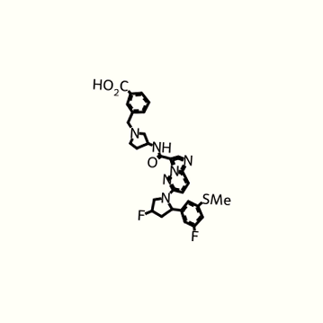 CSc1cc(F)cc(C2CC(F)CN2c2ccc3ncc(C(=O)NC4CCN(Cc5cccc(C(=O)O)c5)C4)n3n2)c1